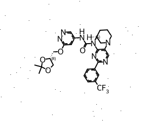 CC1(C)OC[C@@H](COc2cc(NC(=O)N3c4nc(-c5cccc(C(F)(F)F)c5)ncc4N4CCC[C@H]3C4)cnn2)O1